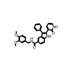 COc1ccc(CNC(=O)c2ccc3[nH]c(-c4ccc[nH]c4=O)c(-c4ccccc4)c3c2)cc1OC